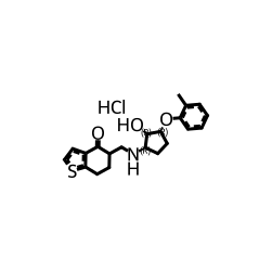 Cc1ccccc1O[C@@H]1CC[C@@H](NCC2CCc3sccc3C2=O)[C@H]1O.Cl